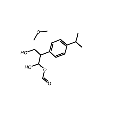 CC(C)c1ccc(C(CO)C(O)OC=O)cc1.COC